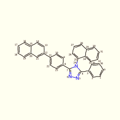 c1ccc(-c2nnc(-c3ccc(-c4ccc5ccccc5c4)cc3)n2-c2cccc3ccccc23)cc1